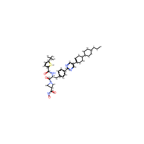 CCCC1CCC(C2CC=C(c3cnc(-c4ccc(C[C@H](NC(=O)c5ccc(C(C)(C)C)s5)C(=O)N5CC(C(=O)N=O)C5)cc4)nc3)CC2)CC1